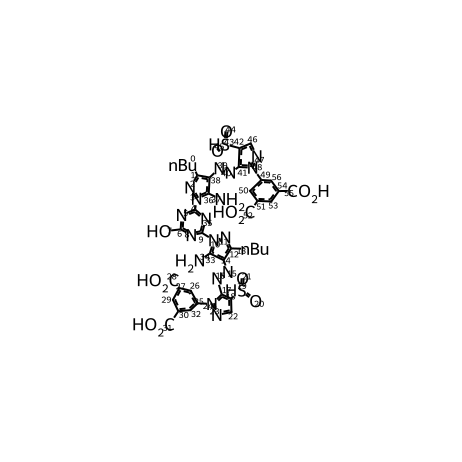 CCCCc1nn(-c2nc(O)nc(-n3nc(CCCC)c(N=Nc4c([SH](=O)=O)cnn4-c4cc(C(=O)O)cc(C(=O)O)c4)c3N)n2)c(N)c1N=Nc1c([SH](=O)=O)cnn1-c1cc(C(=O)O)cc(C(=O)O)c1